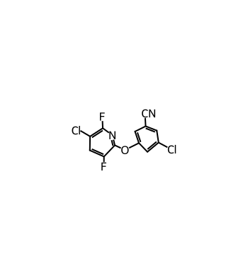 N#Cc1cc(Cl)cc(Oc2nc(F)c(Cl)cc2F)c1